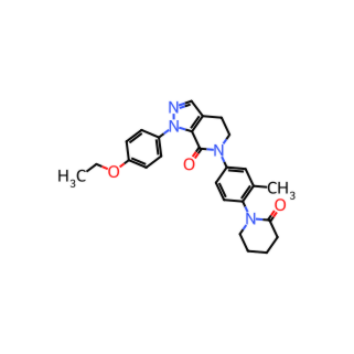 CCOc1ccc(-n2ncc3c2C(=O)N(c2ccc(N4CCCCC4=O)c(C)c2)CC3)cc1